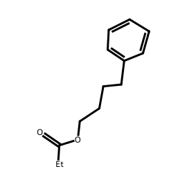 [CH2]CC(=O)OCCCCc1ccccc1